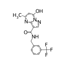 Cc1cc(O)n2ncc(C(=O)NCc3cccc(C(F)(F)F)c3)c2n1